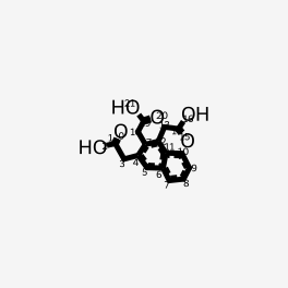 O=C(O)Cc1cc2ccccc2c(CC(=O)O)c1CC(=O)O